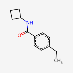 CCc1ccc(C(=O)NC2CCC2)cc1